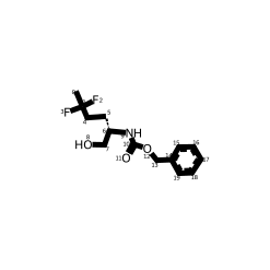 CC(F)(F)CC[C@@H](CO)NC(=O)OCc1ccccc1